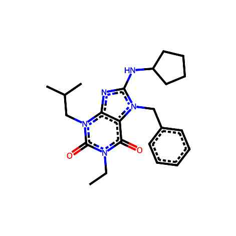 CCn1c(=O)c2c(nc(NC3CCCC3)n2Cc2ccccc2)n(CC(C)C)c1=O